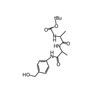 CC(NC(=O)OC(C)(C)C)C(=O)NC(C)C(=O)Nc1ccc(CO)cc1